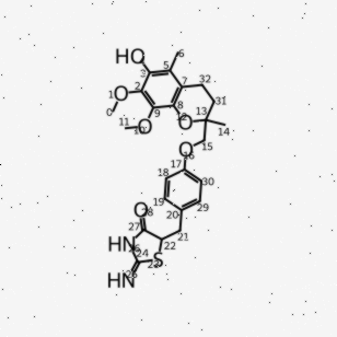 COc1c(O)c(C)c2c(c1OC)OC(C)(COc1ccc(CC3SC(=N)NC3=O)cc1)CC2